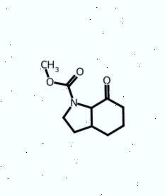 COC(=O)N1CCC2CCCC(=O)C21